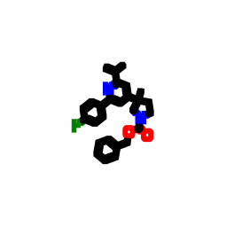 C=C(C)c1cc(C2(C)CCN(C(=O)OCc3ccccc3)C2)cc(-c2ccc(F)cc2)n1